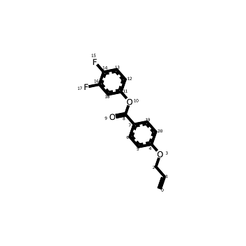 C=CCOc1ccc(C(=O)Oc2ccc(F)c(F)c2)cc1